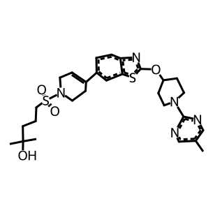 Cc1cnc(N2CCC(Oc3nc4ccc(C5=CCN(S(=O)(=O)CCCC(C)(C)O)CC5)cc4s3)CC2)nc1